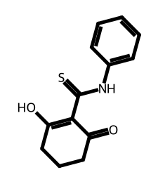 O=C1CCCC(O)=C1C(=S)Nc1ccccc1